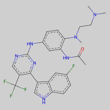 CC(=O)Nc1cc(Nc2ncc(C(F)(F)F)c(-c3c[nH]c4ccc(F)cc34)n2)ccc1N(C)CCN(C)C